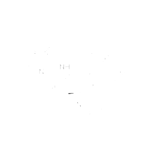 COc1cc2c(cc1OC)[C@@](C)(CC(=O)Nc1nccs1)NCC2